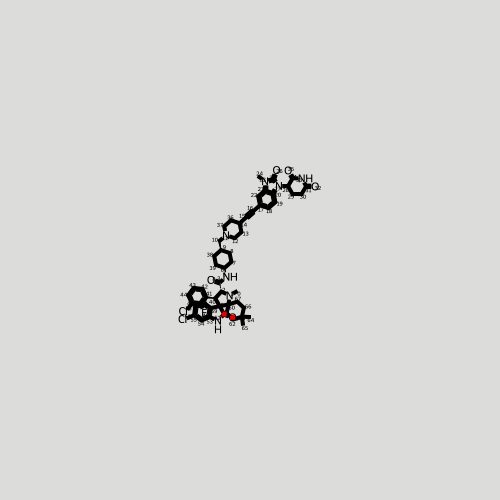 CN1[C@@H](C(=O)N[C@H]2CC[C@H](CN3CCC(C#Cc4ccc5c(c4)n(C)c(=O)n5C4CCC(=O)NC4=O)CC3)CC2)[C@H](c2cccc(Cl)c2F)C2(C(=O)Nc3cc(Cl)ccc32)C12CCC(C)(C)CC2